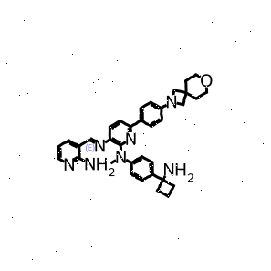 CN(c1ccc(C2(N)CCC2)cc1)c1nc(-c2ccc(N3CC4(CCOCC4)C3)cc2)ccc1/N=C/c1cccnc1N